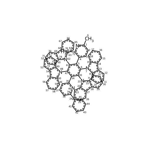 Cc1ccc(-c2c(-n3c4ccccc4c4ccccc43)c(-n3c4ccccc4c4ccccc43)c(-c3cccc(-c4ccccc4)n3)c(-n3c4ccccc4c4ccccc43)c2-n2c3ccccc3c3ccccc32)c(C)n1